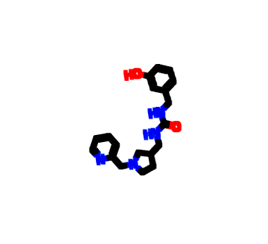 O=C(NCc1cccc(O)c1)NCC1CCN(Cc2ccccn2)C1